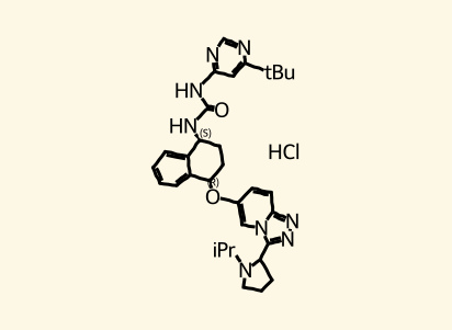 CC(C)N1CCCC1c1nnc2ccc(O[C@@H]3CC[C@H](NC(=O)Nc4cc(C(C)(C)C)ncn4)c4ccccc43)cn12.Cl